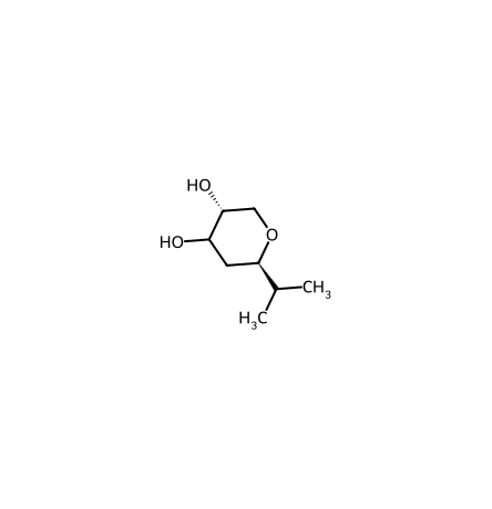 CC(C)[C@H]1CC(O)[C@H](O)CO1